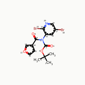 CC(C)(C)OC(=O)N(C(=O)c1ccoc1)c1cc(Br)cnc1Br